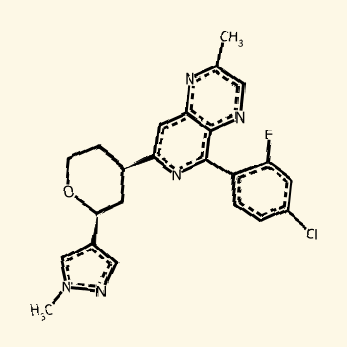 Cc1cnc2c(-c3ccc(Cl)cc3F)nc([C@@H]3CCO[C@H](c4cnn(C)c4)C3)cc2n1